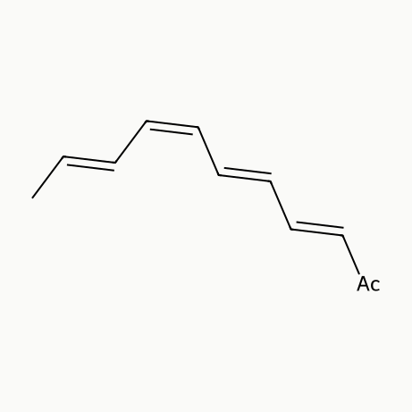 C/C=C/C=C\C=C\C=C\C(C)=O